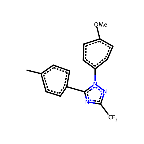 COc1ccc(-n2nc(C(F)(F)F)nc2-c2ccc(C)cc2)cc1